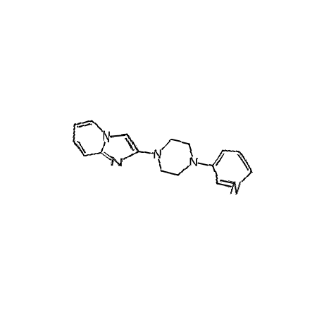 c1cncc(N2CCN(c3cn4ccccc4n3)CC2)c1